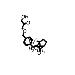 CC12CCC(C(=O)C1=Cc1ccc(COCC(=O)CO)cc1)C2(C)C